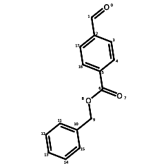 O=Cc1ccc(C(=O)OCc2ccccc2)cc1